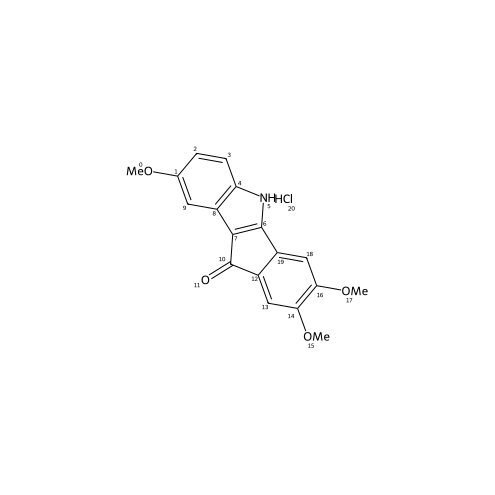 COc1ccc2[nH]c3c(c2c1)C(=O)c1cc(OC)c(OC)cc1-3.Cl